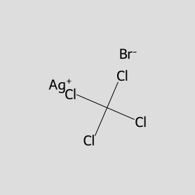 ClC(Cl)(Cl)Cl.[Ag+].[Br-]